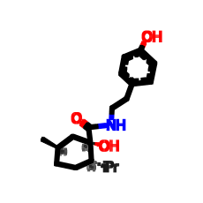 CC(C)[C@@H]1CC[C@@H](C)C[C@@]1(O)C(=O)NCCc1ccc(O)cc1